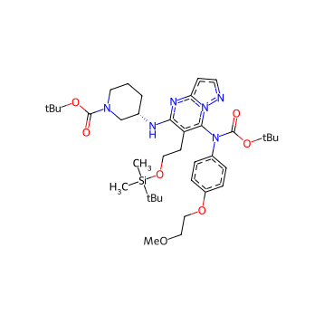 COCCOc1ccc(N(C(=O)OC(C)(C)C)c2c(CCO[Si](C)(C)C(C)(C)C)c(N[C@H]3CCCN(C(=O)OC(C)(C)C)C3)nc3ccnn23)cc1